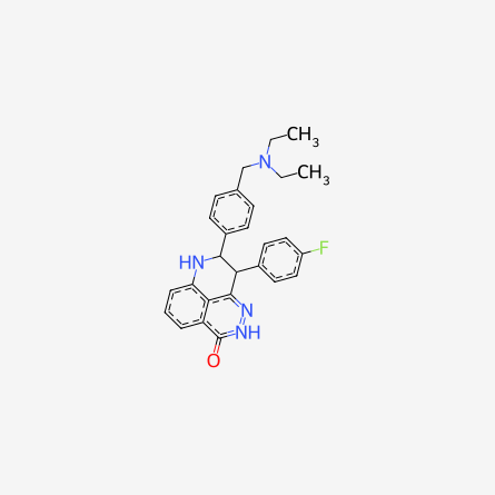 CCN(CC)Cc1ccc(C2Nc3cccc4c(=O)[nH]nc(c34)C2c2ccc(F)cc2)cc1